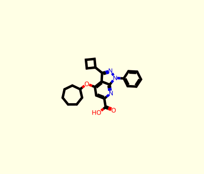 O=C(O)c1cc(OC2CCCCCC2)c2c(C3CCC3)nn(-c3ccccc3)c2n1